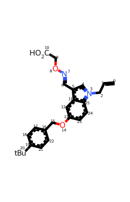 C=CCn1cc(C=NOCC(=O)O)c2cc(OCc3ccc(C(C)(C)C)cc3)ccc21